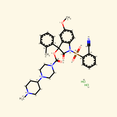 COc1ccc2c(c1)C(OC(=O)N1CCN(C3CCN(C)CC3)CC1)(c1ccccc1C)C(=O)N2S(=O)(=O)c1ccccc1C#N.Cl.Cl